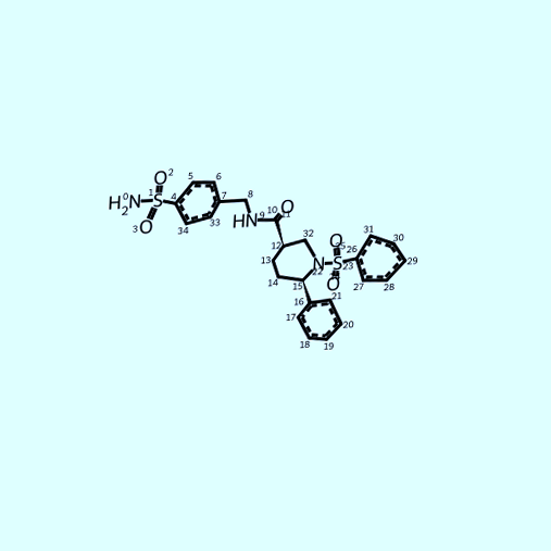 NS(=O)(=O)c1ccc(CNC(=O)[C@@H]2CC[C@H](c3ccccc3)N(S(=O)(=O)c3ccccc3)C2)cc1